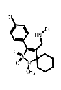 CCNCC1=C(c2ccc(Cl)cc2)S(=O)(=O)N(C)C12CCCCC2